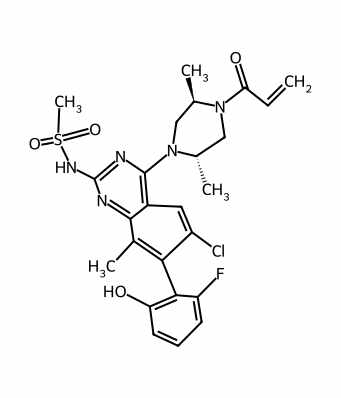 C=CC(=O)N1C[C@H](C)N(c2nc(NS(C)(=O)=O)nc3c(C)c(-c4c(O)cccc4F)c(Cl)cc23)C[C@H]1C